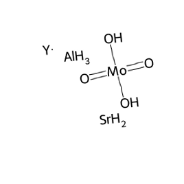 [AlH3].[O]=[Mo](=[O])([OH])[OH].[SrH2].[Y]